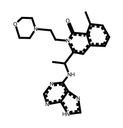 Cc1cccc2cc(C(C)Nc3ncnc4[nH]cnc34)n(CCN3CCOCC3)c(=O)c12